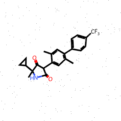 Cc1cc(C2C(=O)NC(C)(C3CC3)C2=O)c(C)cc1-c1ccc(C(F)(F)F)cc1